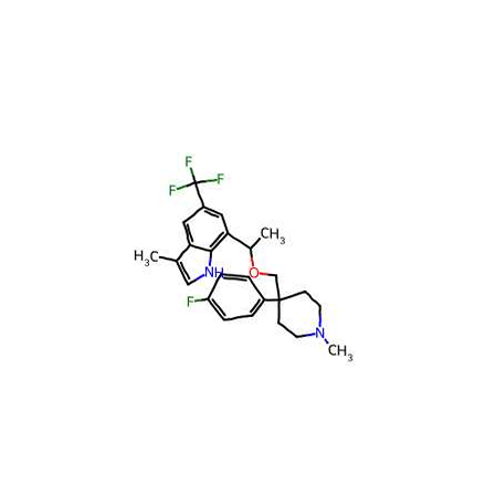 Cc1c[nH]c2c(C(C)OCC3(c4ccc(F)cc4)CCN(C)CC3)cc(C(F)(F)F)cc12